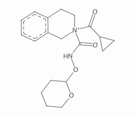 O=C(NOC1CCCCO1)[N+]1(C(=O)C2CC2)CCc2ccccc2C1